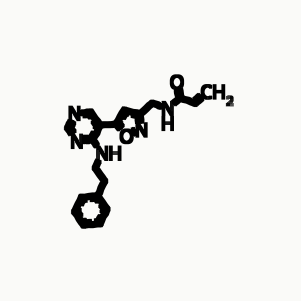 C=CC(=O)NCc1cc(-c2cncnc2NCCc2ccccc2)on1